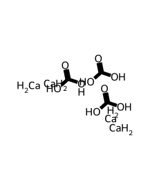 O=C(O)O.O=C(O)O.O=C(O)O.[CaH2].[CaH2].[CaH2].[CaH2]